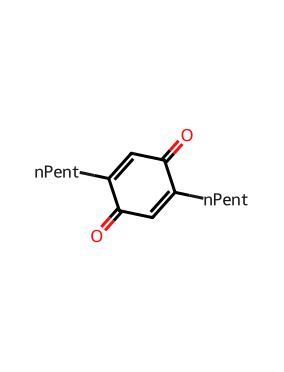 CCCCCC1=CC(=O)C(CCCCC)=CC1=O